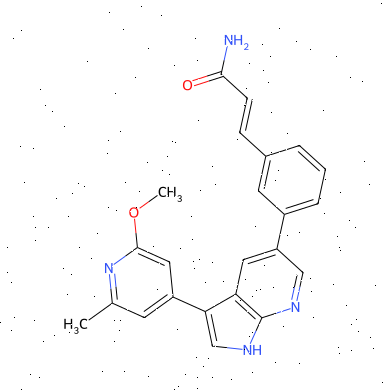 COc1cc(-c2c[nH]c3ncc(-c4cccc(C=CC(N)=O)c4)cc23)cc(C)n1